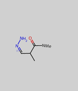 CNC(=O)C(C)/C=N\N